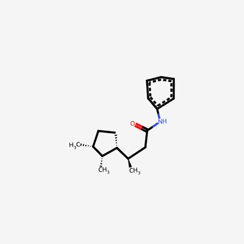 C[C@H]1[C@@H]([C@H](C)CC(=O)Nc2ccccc2)CC[C@H]1C